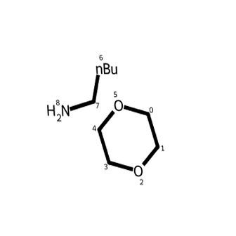 C1COCCO1.CCCCCN